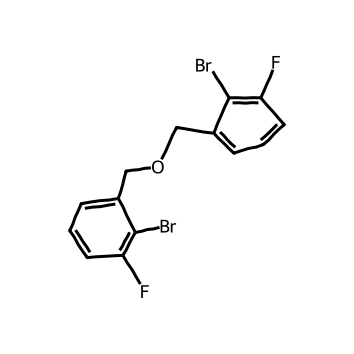 Fc1cccc(COCc2cccc(F)c2Br)c1Br